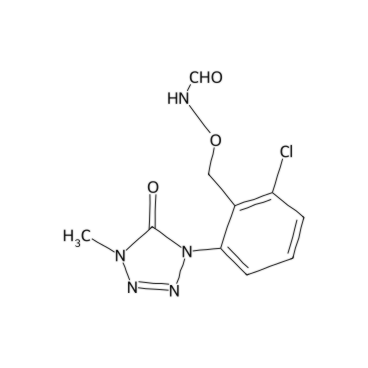 Cn1nnn(-c2cccc(Cl)c2CONC=O)c1=O